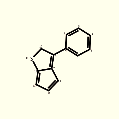 C1=CC2=C(c3ccccc3)CSC2=C1